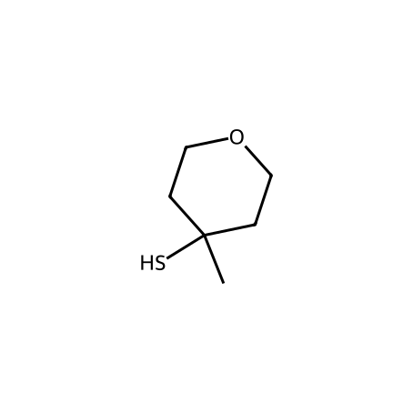 CC1(S)CCOCC1